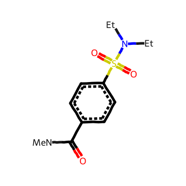 CCN(CC)S(=O)(=O)c1ccc(C(=O)NC)cc1